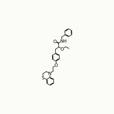 CCOC(Cc1ccc(OCCN2CCSc3ccccc32)cc1)C(=O)NCc1ccccc1